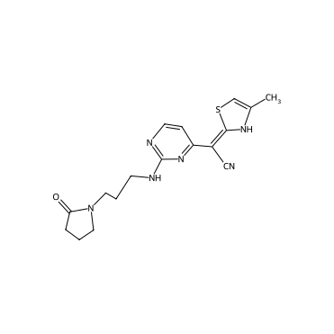 CC1=CSC(=C(C#N)c2ccnc(NCCCN3CCCC3=O)n2)N1